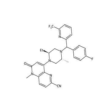 CC[C@H]1CN(C(c2ccc(F)cc2)c2cccc(C(F)(F)F)n2)[C@H](C)CN1c1cc(=O)n(C)c2ccc(C#N)nc12